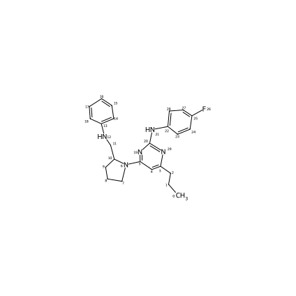 CCCc1cc(N2CCCC2CNc2ccccc2)nc(Nc2ccc(F)cc2)n1